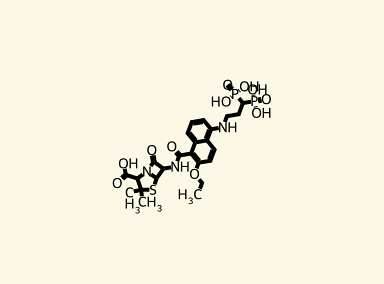 CCOc1ccc2c(NCCC(P(=O)(O)O)P(=O)(O)O)cccc2c1C(=O)NC1C(=O)N2C1SC(C)(C)C2C(=O)O